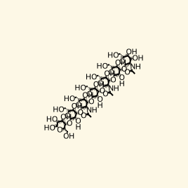 CC(=O)N[C@H]1[C@@H](O[C@H]2[C@@H](O)[C@@H](CO)O[C@@H](O[C@H]3[C@H](O)[C@@H](CO)O[C@@H](O[C@H]4[C@@H](O)[C@@H](CO)O[C@@H](O[C@H]5[C@H](O)[C@@H](CO)O[C@@H](O[C@H]6[C@@H](O)[C@@H](CO)O[C@@H](O[C@H]7[C@H](O)[C@@H](O)[C@H](O)O[C@@H]7CO)[C@@H]6O)[C@@H]5NC(C)=O)[C@@H]4O)[C@@H]3NC(C)=O)[C@@H]2O)O[C@H](CO)[C@H](O)[C@@H]1O